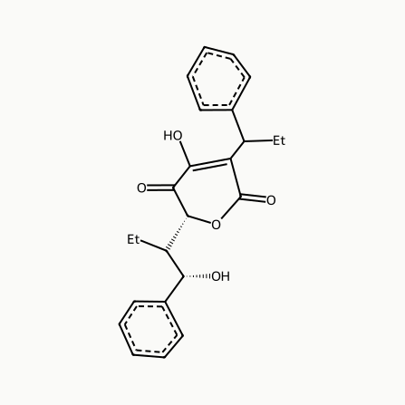 CCC(C1=C(O)C(=O)[C@@H](C(CC)[C@H](O)c2ccccc2)OC1=O)c1ccccc1